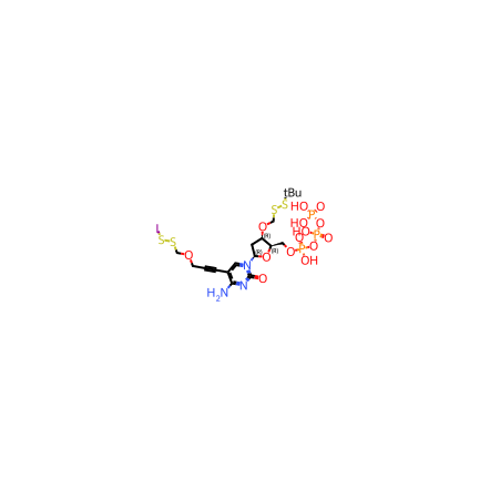 CC(C)(C)SSCO[C@@H]1C[C@H](n2cc(C#CCOCSSI)c(N)nc2=O)O[C@@H]1COP(=O)(O)OP(=O)(O)OP(=O)(O)O